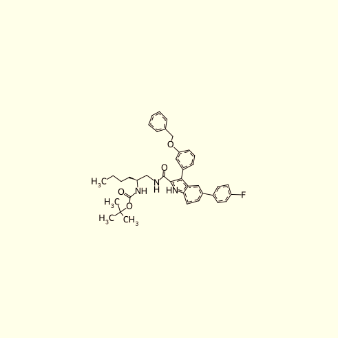 CCCC[C@@H](CNC(=O)c1[nH]c2ccc(-c3ccc(F)cc3)cc2c1-c1cccc(OCc2ccccc2)c1)NC(=O)OC(C)(C)C